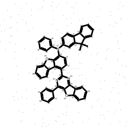 CC1(C)c2ccccc2-c2ccc(N(c3ccccc3)c3ccc(-c4nc(-c5ccccc5)c5oc6ccccc6c5n4)c4c3oc3ccccc34)cc21